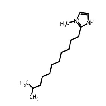 CC(C)CCCCCCCCCc1[nH]cc[n+]1C